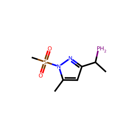 Cc1cc(C(C)P)nn1S(C)(=O)=O